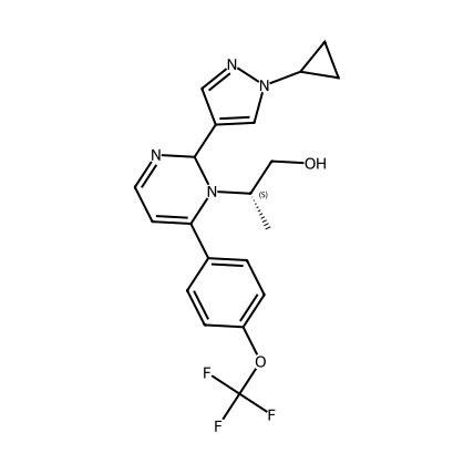 C[C@@H](CO)N1C(c2ccc(OC(F)(F)F)cc2)=CC=NC1c1cnn(C2CC2)c1